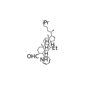 CCC1C[C@H]2C(C3=CC=CC=CN3)C(C=O)CC[C@]2(C)[C@H]2CC[C@]3(C)[C@@H]([C@H](C)CCCC(C)C)CC[C@H]3[C@H]12